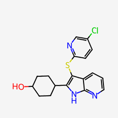 OC1CCC(c2[nH]c3ncccc3c2Sc2ccc(Cl)cn2)CC1